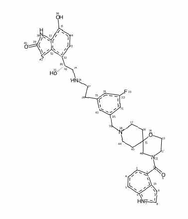 O=C(c1cccc2[nH]ccc12)N1CCOC2(CCN(Cc3cc(F)cc(CCNC[C@H](O)c4ccc(O)c5[nH]c(=O)sc45)c3)CC2)C1